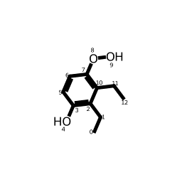 CCc1c(O)ccc(OO)c1CC